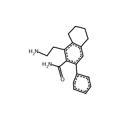 NCCc1c2c(cc(-c3ccccc3)c1C(N)=O)CCCC2